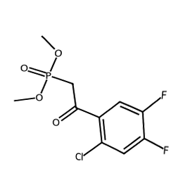 COP(=O)(CC(=O)c1cc(F)c(F)cc1Cl)OC